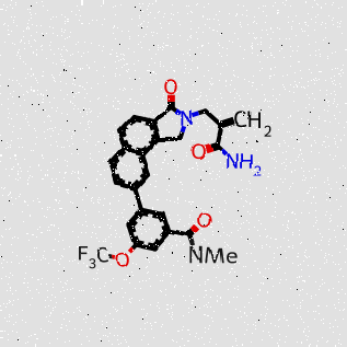 C=C(CN1Cc2c(ccc3ccc(-c4cc(OC(F)(F)F)cc(C(=O)NC)c4)cc23)C1=O)C(N)=O